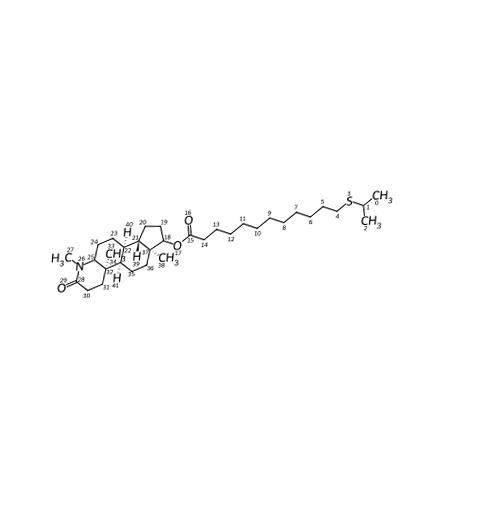 CC(C)SCCCCCCCCCCCC(=O)OC1CC[C@H]2[C@@H]3CCC4N(C)C(=O)CC[C@]4(C)[C@@H]3CC[C@]12C